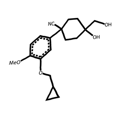 COc1ccc(C2(C#N)CCC(O)(CO)CC2)cc1OCC1CC1